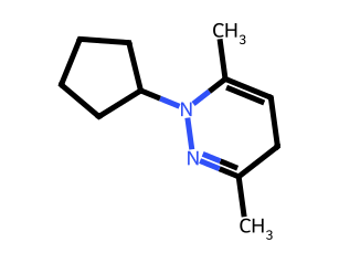 CC1=CCC(C)=NN1C1CCCC1